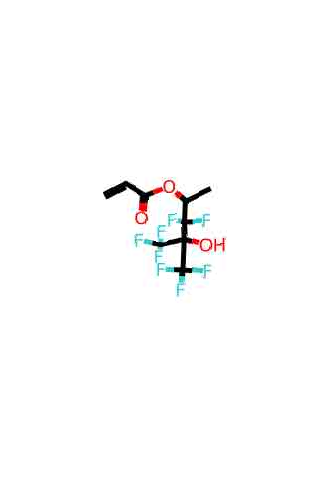 C=CC(=O)OC(C)C(F)(F)C(O)(C(F)(F)F)C(F)(F)F